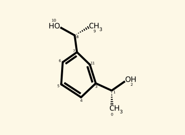 C[C@@H](O)c1cccc([C@@H](C)O)c1